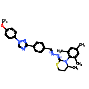 Cc1cc(C)c(N2/C(=N/N=C/c3ccc(-c4ncn(-c5ccc(OC(F)(F)F)cc5)n4)cc3)SCCC2C)c(C)c1